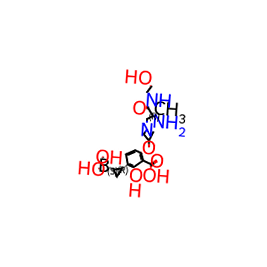 C[C@@](N)(CN1CC(Oc2ccc([C@@H]3C[C@@H]3B(O)O)c(O)c2C(=O)O)C1)C(=O)NCCO